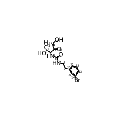 C[C@H](O)[C@@H](NC(=O)NCCc1cccc(Br)c1)C(=O)NO